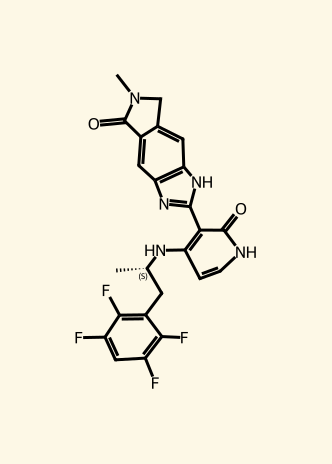 C[C@@H](Cc1c(F)c(F)cc(F)c1F)Nc1cc[nH]c(=O)c1-c1nc2cc3c(cc2[nH]1)CN(C)C3=O